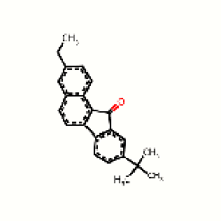 CCc1ccc2c3c(ccc2c1)-c1ccc(C(C)(C)C)cc1C3=O